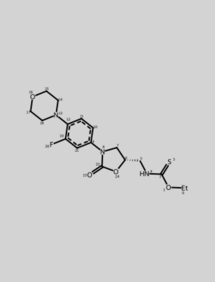 CCOC(=S)NC[C@H]1CN(c2ccc(N3CCOCC3)c(F)c2)C(=O)O1